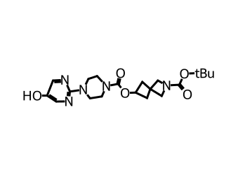 CC(C)(C)OC(=O)N1CC2(CC(OC(=O)N3CCN(c4ncc(O)cn4)CC3)C2)C1